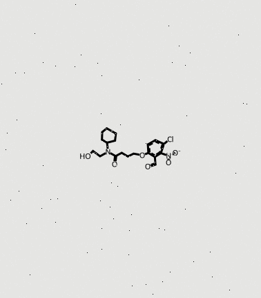 O=Cc1c(OCCCC(=O)N(CCO)C2CCCCC2)ccc(Cl)c1[N+](=O)[O-]